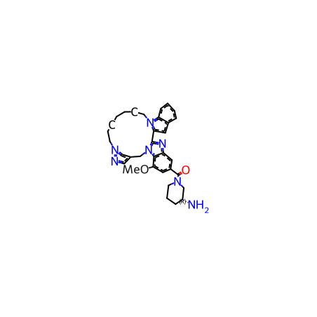 COc1cc(C(=O)N2CCC[C@@H](N)C2)cc2nc3n(c12)Cc1cnn(c1)CCCCCCCn1c-3cc2ccccc21